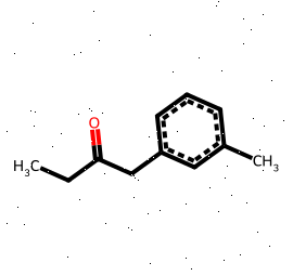 CCC(=O)Cc1cccc(C)c1